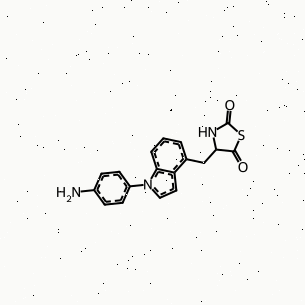 Nc1ccc(-n2ccc3c(CC4NC(=O)SC4=O)cccc32)cc1